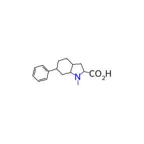 CN1C(C(=O)O)CC2CCC(c3ccccc3)CC21